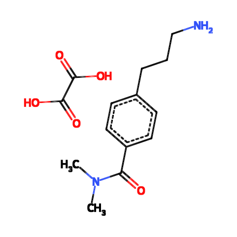 CN(C)C(=O)c1ccc(CCCN)cc1.O=C(O)C(=O)O